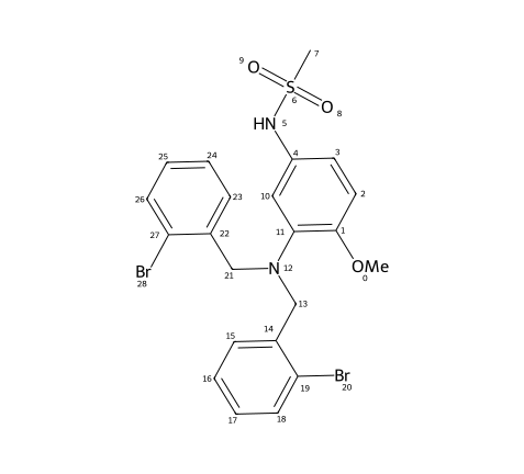 COc1ccc(NS(C)(=O)=O)cc1N(Cc1ccccc1Br)Cc1ccccc1Br